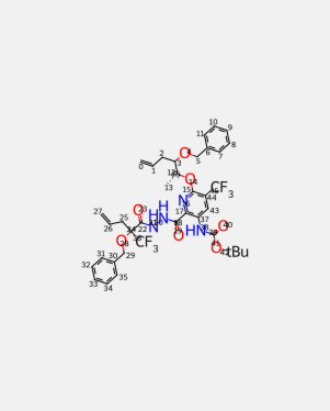 C=CCC(OCc1ccccc1)[C@@H](C)Oc1nc(C(=O)NNC(=O)C(CC=C)(OCc2ccccc2)C(F)(F)F)c(NC(=O)OC(C)(C)C)cc1C(F)(F)F